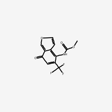 COC(=O)Nc1c2ccocc-2c(=O)cc1C(F)(F)F